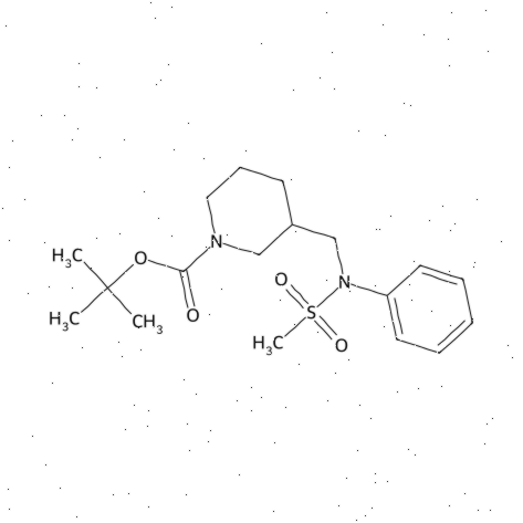 CC(C)(C)OC(=O)N1CCCC(CN(c2ccccc2)S(C)(=O)=O)C1